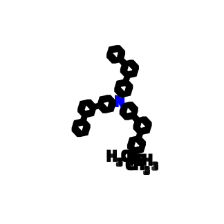 C[Si](C)(C)c1ccc(-c2cccc(-c3ccc(N(c4ccc(-c5cccc(-c6ccccc6)c5)cc4)c4ccc(-c5cccc(-c6ccccc6)c5)cc4)cc3)c2)cc1